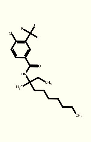 CCCCCCCC(C)(CC)NC(=O)c1ccc(Cl)c(C(F)(F)F)c1